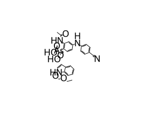 CC(=O)Nc1cc(Nc2ccc(C#N)cc2)ccc1[As](=O)(O)OO.CCOC=O.c1ccc2[nH]ccc2c1